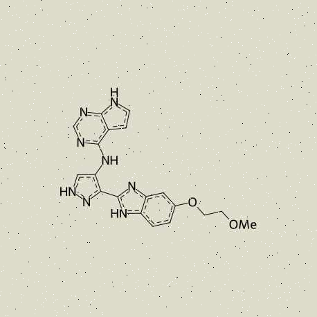 COCCOc1ccc2[nH]c(-c3n[nH]cc3Nc3ncnc4[nH]ccc34)nc2c1